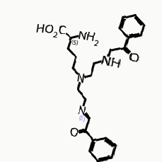 N[C@@H](CCCN(CC/N=C/C(=O)c1ccccc1)CCNCC(=O)c1ccccc1)C(=O)O